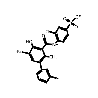 Cc1c(-c2cccc(F)c2)cc(C(C)(C)C)c(O)c1C(=O)Nc1ccc(S(=O)(=O)C(F)(F)F)cc1Cl